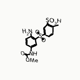 COC(=O)Nc1ccc(N)c(S(=O)(=O)c2ccc(C)c(S(=O)(=O)O)c2)c1